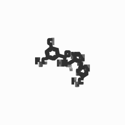 C[C@H](NC(=O)c1cc(Cl)cc(C(F)(F)F)c1)c1ncnn1-c1ncc(C(F)(F)F)s1